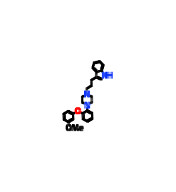 COc1cccc(Oc2ccccc2N2CCN(CCCc3c[nH]c4ccccc34)CC2)c1